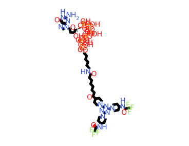 Nc1nc2c(ncn2[C@H]2CC(O)[C@@H](COP(=O)(O)OP(=O)(O)OP(=O)(O)OP(=O)(O)OP(=O)(O)OP(=O)(O)OCCCCCCNC(=O)CCCCCCC(=O)C3CCN(c4nc(N5CCC(NC(=O)C(F)(F)F)CC5)nc(N5CCC(NC(=O)C(F)(F)F)CC5)n4)CC3)O2)c(=O)[nH]1